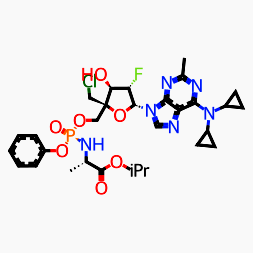 Cc1nc(N(C2CC2)C2CC2)c2ncn([C@@H]3O[C@](CCl)(CO[P@](=O)(N[C@@H](C)C(=O)OC(C)C)Oc4ccccc4)[C@@H](O)[C@@H]3F)c2n1